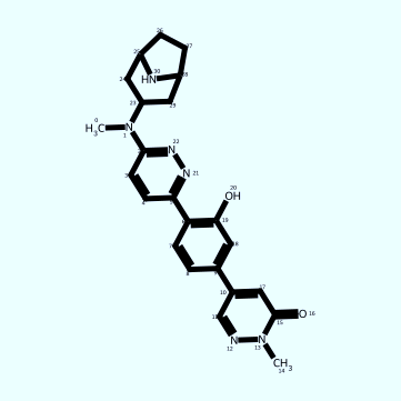 CN(c1ccc(-c2ccc(-c3cnn(C)c(=O)c3)cc2O)nn1)C1CC2CCC(C1)N2